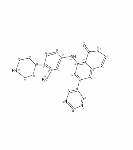 O=c1[nH]ccc2cc(-c3cncnc3)nc(Nc3ccc(C4CCNCC4)c(C(F)(F)F)c3)c12